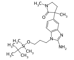 CN1CCC(C)(c2ccc3c(c2)nc(N)n3CCCO[Si](C)(C)C(C)(C)C)C1=O